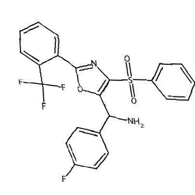 NC(c1ccc(F)cc1)c1oc(-c2ccccc2C(F)(F)F)nc1S(=O)(=O)c1ccccc1